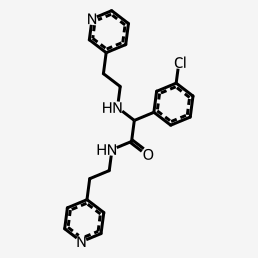 O=C(NCCc1ccncc1)C(NCCc1cccnc1)c1cccc(Cl)c1